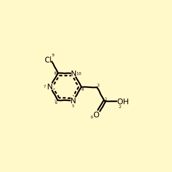 O=C(O)Cc1n[c]nc(Cl)n1